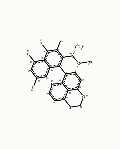 Cc1c([C@@H](OC(C)(C)C)C(=O)O)c(-c2ccc3c4c(ccnc24)CCO3)c2cc(F)cc(F)c2c1F